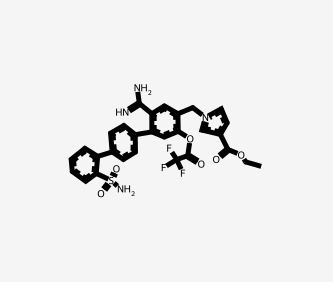 CCOC(=O)c1ccn(Cc2cc(C(=N)N)c(-c3ccc(-c4ccccc4S(N)(=O)=O)cc3)cc2OC(=O)C(F)(F)F)c1